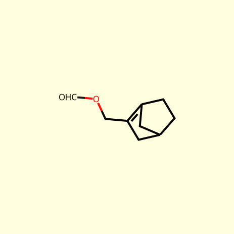 O=COCC1=C2CCC(C2)C1